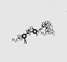 CC(C)Oc1ccc(-c2nnc(-c3cc(F)c(OCC[C@@H]4COC(C)(C)N4C(=O)OC(C)(C)C)cc3Cl)s2)cc1C#N